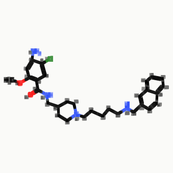 COc1cc(N)c(Cl)cc1C(=O)NCC1CCN(CCCCCNCc2ccc3ccccc3c2)CC1